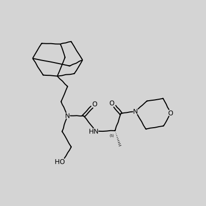 C[C@H](NC(=O)N(CCO)CCC12CC3CC(CC(C3)C1)C2)C(=O)N1CCOCC1